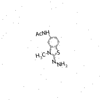 CC(=O)Nc1ccc2s/c(=N\N)n(C)c2c1